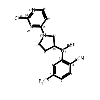 CCN(c1cc(C(F)(F)F)ccc1C#N)C1CCN(c2ccnc(Cl)n2)C1